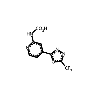 O=C(O)Nc1cc(-c2nnc(C(F)(F)F)o2)ccn1